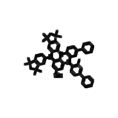 Cc1cc(-c2ccccc2)ccc1N1c2cc(-c3ccccc3)ccc2B2c3cc4c(cc3N(c3ccc5c(c3)C(C)(C)CC5(C)C)c3cc(C(C)(C)C)cc1c32)C(C)(C)CC4(C)C